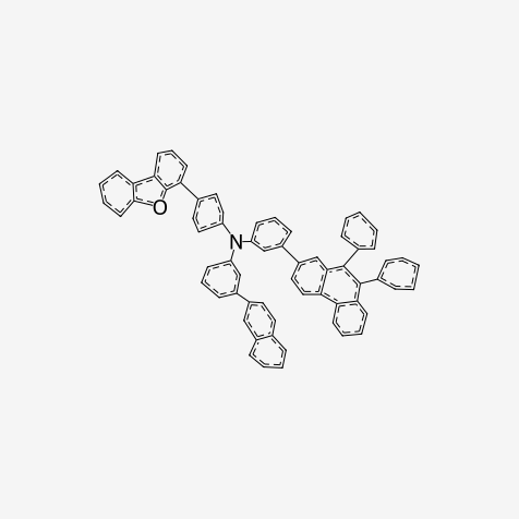 c1ccc(-c2c(-c3ccccc3)c3cc(-c4cccc(N(c5ccc(-c6cccc7c6oc6ccccc67)cc5)c5cccc(-c6ccc7ccccc7c6)c5)c4)ccc3c3ccccc23)cc1